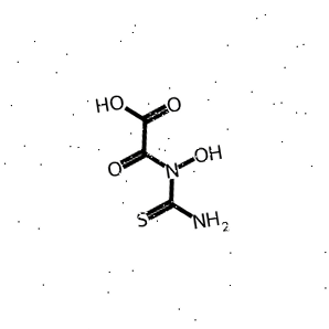 NC(=S)N(O)C(=O)C(=O)O